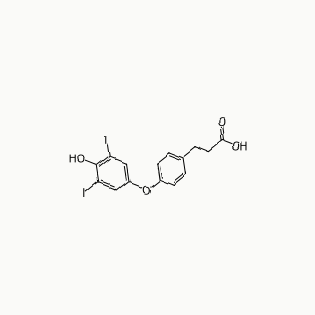 O=C(O)CCc1ccc(Oc2cc(I)c(O)c(I)c2)cc1